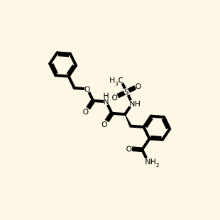 CS(=O)(=O)N[C@@H](Cc1ccccc1C(N)=O)C(=O)NC(=O)OCc1ccccc1